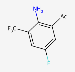 CC(=O)c1cc(F)cc(C(F)(F)F)c1N